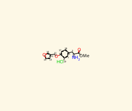 COC(=O)C(N)Cc1ccc(OCc2ccoc2)cc1.Cl